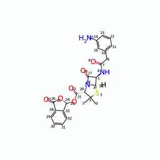 CC1(C)S[C@@H]2[C@H](NC(=O)Cc3cccc(N)c3)C(=O)N2[C@H]1C(=O)OC1OC(=O)c2ccccc21